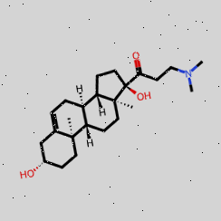 CN(C)CCC(=O)[C@@]1(O)CC[C@H]2[C@@H]3CC=C4C[C@@H](O)CC[C@]4(C)[C@H]3CC[C@@]21C